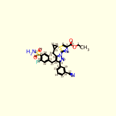 CCOC(=O)c1csc(-n2nc(-c3cccc(C#N)c3)c(Cc3ccc(S(N)(=O)=O)c(F)c3)c2CC2CC2)n1